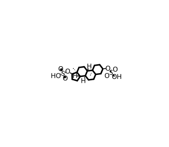 C[C@]12CC[C@H]3[C@@H](CCC4C[C@H](OS(=O)(=O)O)CC[C@@]43C)[C@@H]1CC[C@H]2OS(=O)(=O)O